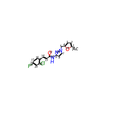 CC(=O)c1ccc(Cn2ccc(NC(=O)C=Cc3ccc(F)cc3Cl)n2)o1